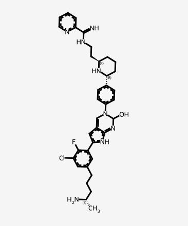 C[C@H](N)CCCc1cc(Cl)c(F)c(-c2cc3c([nH]2)=NC(O)N(c2ccc([C@H]4CCC[C@H](CCNC(=N)c5ccccn5)N4)cc2)C=3)c1